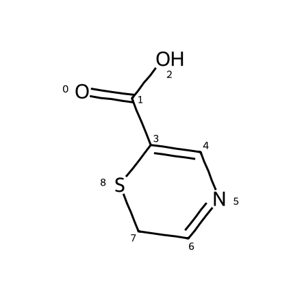 O=C(O)C1=CN=CCS1